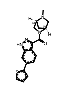 CN1C[C@@H]2C[C@H]1CN2C(=O)c1n[nH]c2cc(-c3cccs3)ccc12